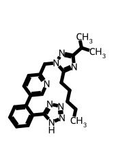 CCCCCc1nc(C(C)C)nn1Cc1ccc(-c2ccccc2-c2nnn[nH]2)cn1